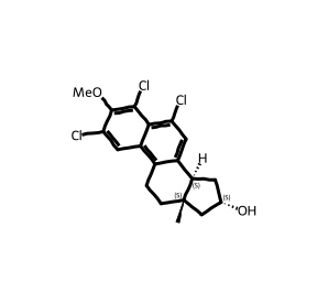 COc1c(Cl)cc2c3c(cc(Cl)c2c1Cl)[C@H]1C[C@H](O)C[C@]1(C)CC3